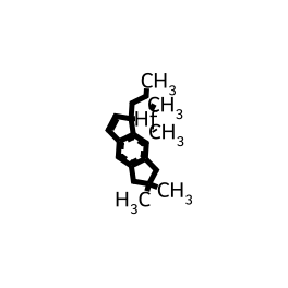 CCC[C]1([Hf]([CH3])[CH3])C=Cc2cc3c(cc21)CC(C)(C)C3